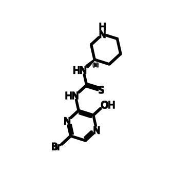 Oc1ncc(Br)nc1NC(=S)N[C@@H]1CCCNC1